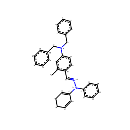 Cc1cc(N(Cc2ccccc2)Cc2ccccc2)ccc1C=NN(C1=CCCC=C1)c1ccccc1